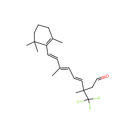 CC1=C(/C=C/C(C)=C/C=C/C(C)(CC=O)C(F)(F)F)C(C)(C)CCC1